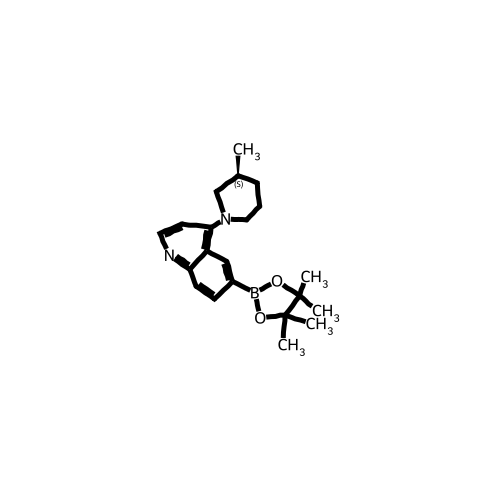 C[C@H]1CCCN(c2ccnc3ccc(B4OC(C)(C)C(C)(C)O4)cc23)C1